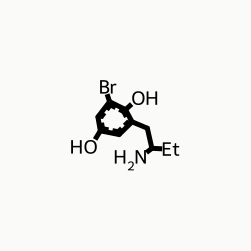 CCC(N)Cc1cc(O)cc(Br)c1O